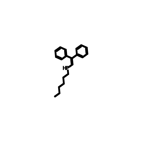 CCCCCCPC=C(c1ccccc1)c1ccccc1